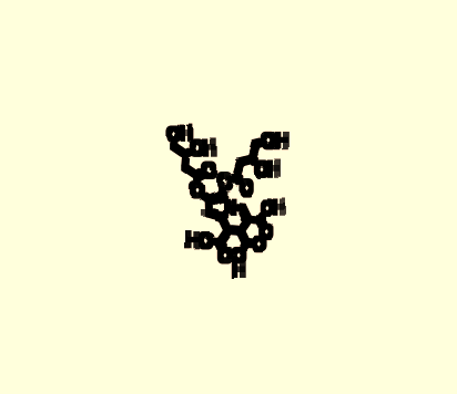 O=C(CC(O)CO)Oc1[c]c2c(C(=O)O)c(C(=O)O)c(C(=O)O)cn2c1OC(=O)CC(O)CO